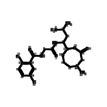 CC(C)CC(NC(=O)CNC(=O)c1cc(Cl)ccc1Cl)B1OCCN(C)CC(=O)O1